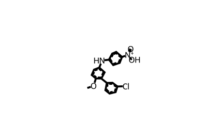 COc1ccc(Nc2ccc([N+](=O)O)cc2)cc1-c1cccc(Cl)c1